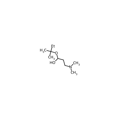 CCC(C)(C)OC(O)CCN(C)C